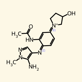 CC(=O)NC1=CC(=[N+]2\CCC(O)C2)/C=CC/1=N/c1cnn(C)c1N